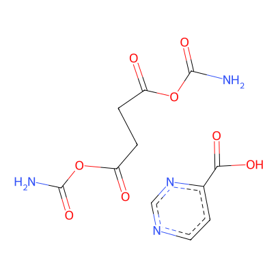 NC(=O)OC(=O)CCC(=O)OC(N)=O.O=C(O)c1ccncn1